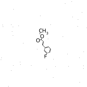 CCOC(=O)/C=C/c1cccc(F)c1